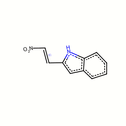 O=[N+]([O-])/C=C/c1cc2ccccc2[nH]1